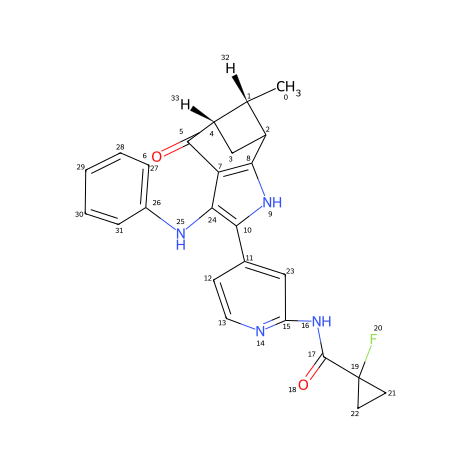 C[C@@H]1C2C[C@@H]1C(=O)c1c2[nH]c(-c2ccnc(NC(=O)C3(F)CC3)c2)c1Nc1ccccc1